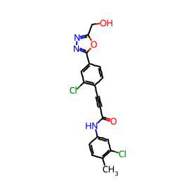 Cc1ccc(NC(=O)C#Cc2ccc(-c3nnc(CO)o3)cc2Cl)cc1Cl